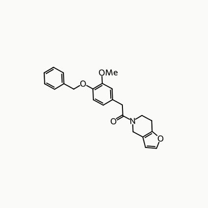 COc1cc(CC(=O)N2CCc3occc3C2)ccc1OCc1ccccc1